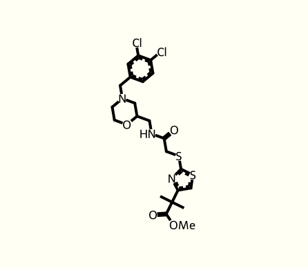 COC(=O)C(C)(C)c1csc(SCC(=O)NCC2CN(Cc3ccc(Cl)c(Cl)c3)CCO2)n1